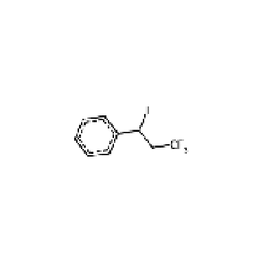 FC(F)(F)CC(I)c1ccccc1